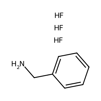 F.F.F.NCc1ccccc1